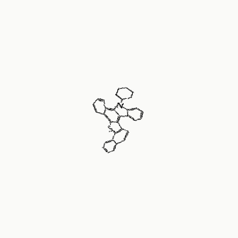 c1ccc2c(c1)ccc1c2sc2c3ccccc3c3c(c4ccccc4n3C3CCCCC3)c12